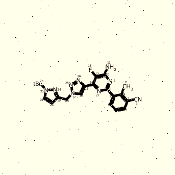 Cc1c(C#N)cccc1-c1nc(N)c(F)c(-c2cn(Cc3ccn(C(C)(C)C)n3)nn2)n1